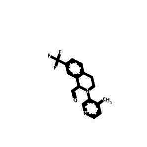 Cc1ccncc1N1CCc2ccc(C(F)(F)F)cc2C1C=O